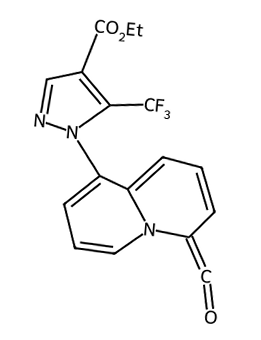 CCOC(=O)c1cnn(C2=CC=CN3C(=C=O)C=CC=C23)c1C(F)(F)F